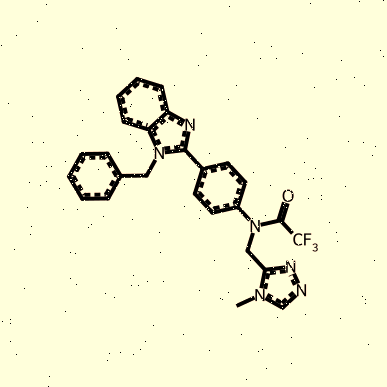 Cn1cnnc1CN(C(=O)C(F)(F)F)c1ccc(-c2nc3ccccc3n2Cc2ccccc2)cc1